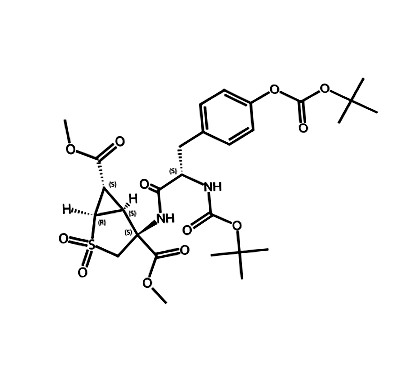 COC(=O)[C@@H]1[C@@H]2[C@H]1S(=O)(=O)C[C@@]2(NC(=O)[C@H](Cc1ccc(OC(=O)OC(C)(C)C)cc1)NC(=O)OC(C)(C)C)C(=O)OC